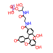 O=C(CCNC(=O)c1ccc(C(=O)O)c(-c2c3ccc(=O)cc-3oc3cc(O)ccc23)c1)NC(CO)CO[PH](=O)O